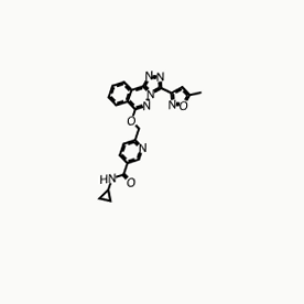 Cc1cc(-c2nnc3c4ccccc4c(OCc4ccc(C(=O)NC5CC5)cn4)nn23)no1